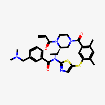 C=CC(=O)N1CCN(C(=O)c2cc(Sc3cnc(NC(=O)c4cccc(CN(C)C)c4)s3)c(C)cc2C)C[C@H]1CC